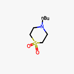 [CH2]CCCN1CCS(=O)(=O)CC1